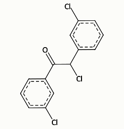 O=C(c1cccc(Cl)c1)C(Cl)c1cccc(Cl)c1